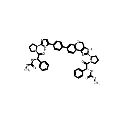 COC(=O)N[C@@H](C(=O)N1CCC[C@H]1c1ncc(-c2ccc(-c3ccc4c(c3)OCc3[nH]c([C@@H]5CCCN5C(=O)[C@H](NC(=O)OC)c5ccccc5)nc3-4)cc2)[nH]1)c1ccccc1